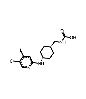 O=C(O)NC[C@H]1CC[C@H](Nc2cc(I)c(Cl)cn2)CC1